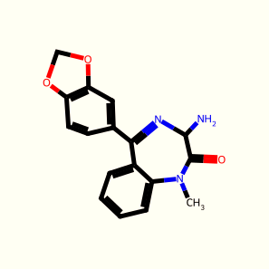 CN1C(=O)C(N)N=C(c2ccc3c(c2)OCO3)c2ccccc21